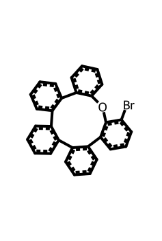 Brc1cccc2c1Oc1ccccc1-c1ccccc1-c1ccccc1-c1ccccc1-2